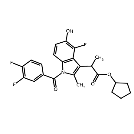 Cc1c(C(C)C(=O)OC2CCCC2)c2c(F)c(O)ccc2n1C(=O)c1ccc(F)c(F)c1